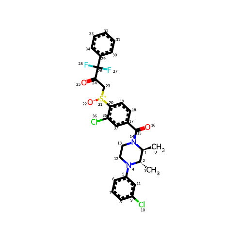 C[C@H]1[C@H](C)N(c2cccc(Cl)c2)CCN1C(=O)c1ccc([S+]([O-])CC(=O)C(F)(F)c2ccccc2)c(Cl)c1